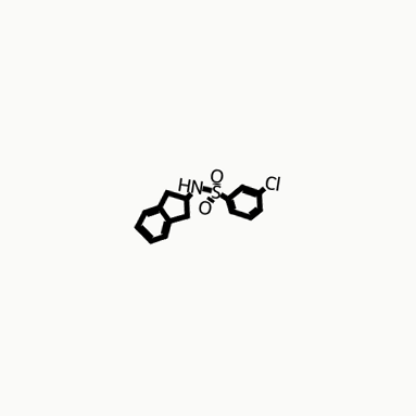 O=S(=O)(NC1Cc2ccccc2C1)c1cccc(Cl)c1